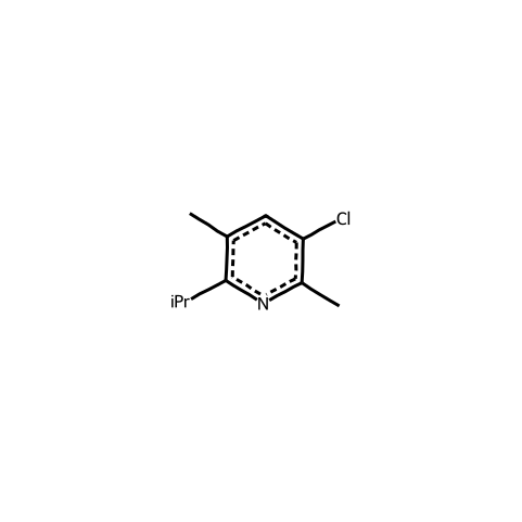 Cc1cc(Cl)c(C)nc1C(C)C